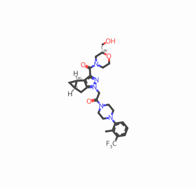 Cc1c(N2CCN(C(=O)Cn3nc(C(=O)N4CCO[C@@H](CO)C4)c4c3C[C@H]3C[C@@H]43)CC2)cccc1C(F)(F)F